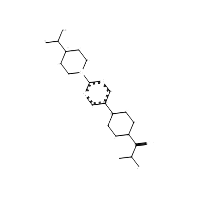 CC(C)C(=O)C1CCC(c2cnc(N3CCC(C(C)C)CC3)nc2)CC1